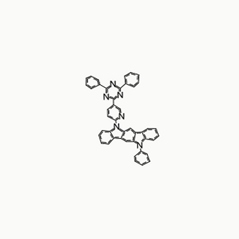 c1ccc(-c2nc(-c3ccccc3)nc(-c3ccc(-n4c5ccccc5c5cc6c(cc54)c4ccccc4n6-c4ccccc4)nc3)n2)cc1